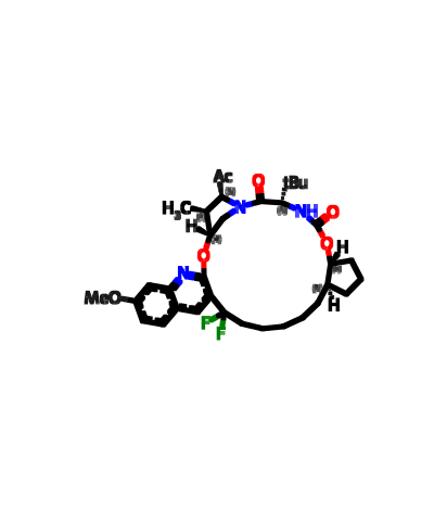 COc1ccc2cc3c(nc2c1)O[C@H]1CN(C(=O)[C@H](C(C)(C)C)NC(=O)O[C@@H]2CCC[C@H]2CCCCCC3(F)F)[C@H](C(C)=O)[C@@H]1C